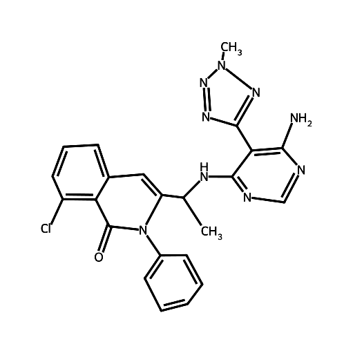 CC(Nc1ncnc(N)c1-c1nnn(C)n1)c1cc2cccc(Cl)c2c(=O)n1-c1ccccc1